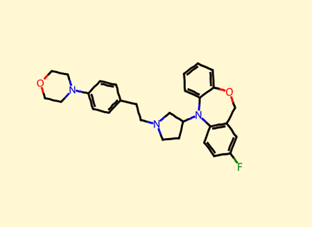 Fc1ccc2c(c1)COc1ccccc1N2C1CCN(CCc2ccc(N3CCOCC3)cc2)C1